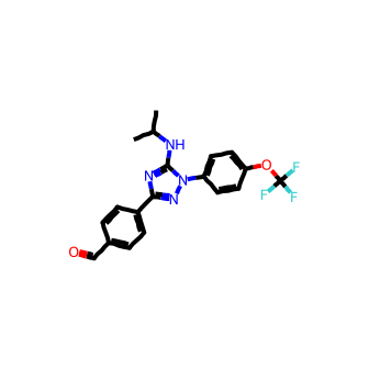 CC(C)Nc1nc(-c2ccc(C=O)cc2)nn1-c1ccc(OC(F)(F)F)cc1